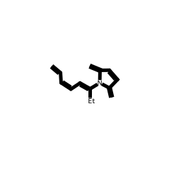 C=C/C=C\C=C(/CC)n1c(=C)ccc1=C